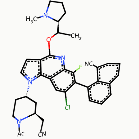 CC(=O)N1CC[C@H](n2ccc3c(OC(C)[C@@H]4CCCN4C)nc4c(F)c(-c5cccc6cccc(C#N)c56)c(Cl)cc4c32)C[C@H]1CC#N